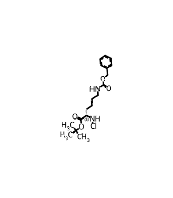 CC(C)(C)OC(=O)[C@H](CCCCNC(=O)OCc1ccccc1)NCl